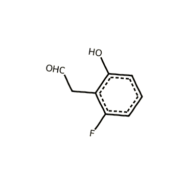 O=CCc1c(O)cccc1F